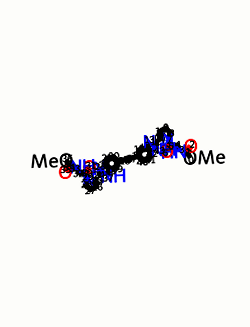 COC(=O)NCC(=O)N1CCC[C@H]1c1nc2cc(C#Cc3ccc4nc([C@@H]5CCCN5C(=O)CNC(=O)OC)[nH]c4c3)ccc2[nH]1